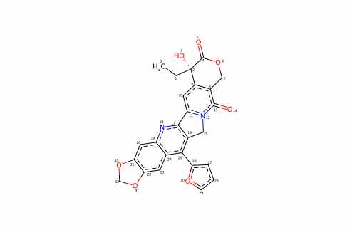 CC[C@@]1(O)C(=O)OCc2c1cc1n(c2=O)Cc2c-1nc1cc3c(cc1c2-c1ccco1)OCO3